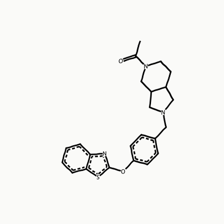 CC(=O)N1CCC2CN(Cc3ccc(Oc4nc5ccccc5s4)cc3)CC2C1